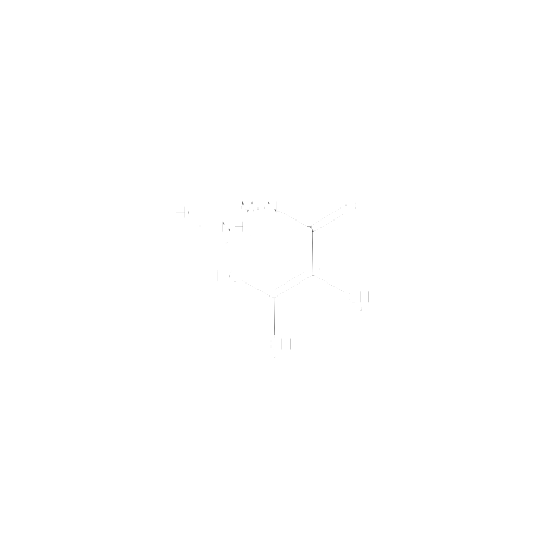 CNC(=O)C(C)=C(C)C.Cl.N